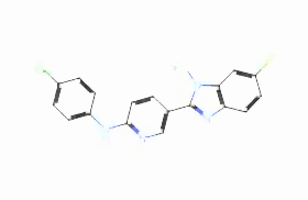 CCCn1c(-c2ccc(Nc3ccc(Cl)cc3)nc2)nc2ccc(F)cc21